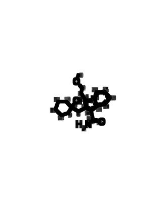 COCCc1c(CC2(O)CCCCC2)c(C(N)=O)c2ccccn12